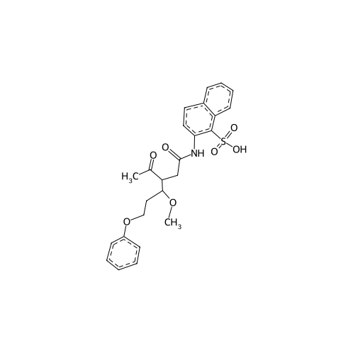 COC(CCOc1ccccc1)C(CC(=O)Nc1ccc2ccccc2c1S(=O)(=O)O)C(C)=O